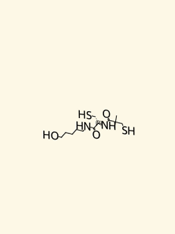 CC(C)(CS)C(=O)N[C@@H](CS)C(=O)NCCCCCO